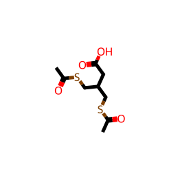 CC(=O)SCC(CSC(C)=O)CC(=O)O